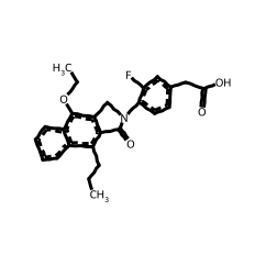 CCCc1c2c(c(OCC)c3ccccc13)CN(c1ccc(CC(=O)O)cc1F)C2=O